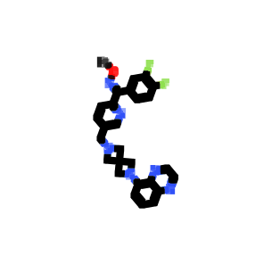 CCON=C(c1ccc(F)c(F)c1)c1ccc(CN2CC3(C2)CN(c2cccc4nccnc24)C3)cn1